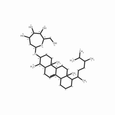 CC(C)C(C)CCC(C)C1CCCC2C3=CCC4C(C)C(OC5CC(O)C(O)C(O)C(CO)O5)CCC4(C)C3CCC21C